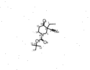 CCC1(C#N)CN(C(=O)OC(C)(C)C)CCC1=O